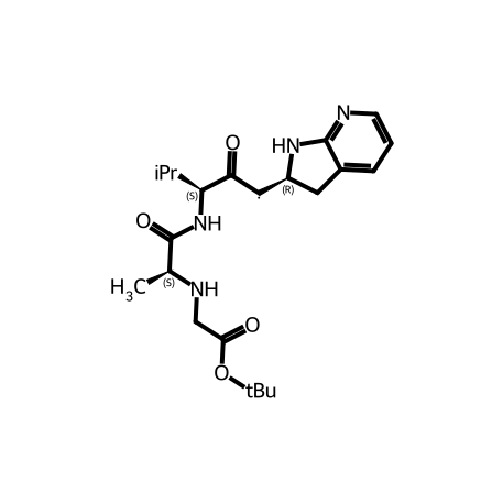 CC(C)[C@H](NC(=O)[C@H](C)NCC(=O)OC(C)(C)C)C(=O)[CH][C@@H]1Cc2cccnc2N1